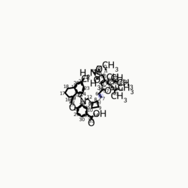 CC[C@H](CC[C@H](/C=C/[C@@H]1CC[C@H]1CN1C[C@@]2(CCCc3cc(Cl)ccc32)COc2ccc(C(=O)O)cc21)O[Si](C(C)C)(C(C)C)C(C)C)S(N)(=O)=O